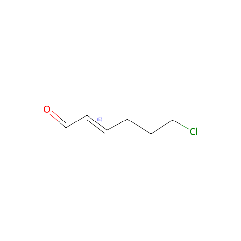 O=C/C=C/CCCCl